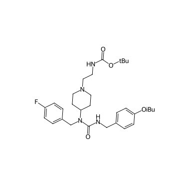 CC(C)COc1ccc(CNC(=O)N(Cc2ccc(F)cc2)C2CCN(CCNC(=O)OC(C)(C)C)CC2)cc1